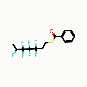 CC(F)C(F)(F)C(F)(F)C(F)(F)CCSC(=O)c1ccccc1